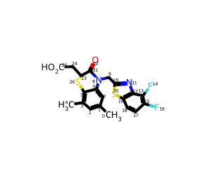 Cc1cc(C)c2c(c1)N(Cc1nc3c(F)c(F)ccc3s1)C(=O)C(CC(=O)O)S2